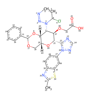 C/N=N\N(C(C)Cl)[C@H]1[C@H]2OC(c3ccccc3)OC[C@H]2O[C@@H](c2ncnn2-c2ccc3nc(C)sc3c2)[C@@H]1OCC(=O)O